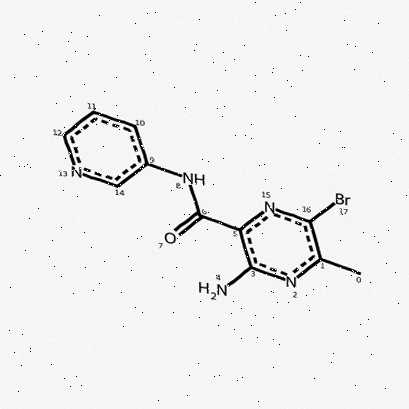 Cc1nc(N)c(C(=O)Nc2cccnc2)nc1Br